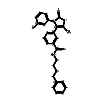 Cc1sc(=O)n(-c2cccc(Cl)c2)c1-c1cccc(C(=O)NCCCCc2ccccc2)c1